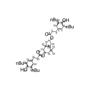 CCCCc1cc(CCC(=O)OCCN2C(C)(C)[CH]C(OC(=O)CCc3cc(CCCC)c(O)c(CCCC)c3)CC2(C)C)cc(CCCC)c1O